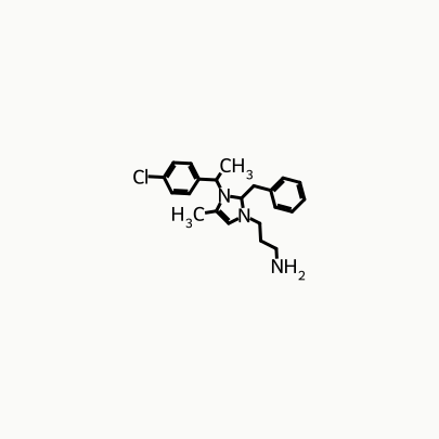 CC1=CN(CCCN)C(Cc2ccccc2)N1C(C)c1ccc(Cl)cc1